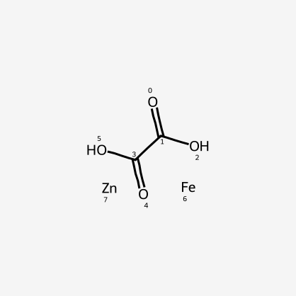 O=C(O)C(=O)O.[Fe].[Zn]